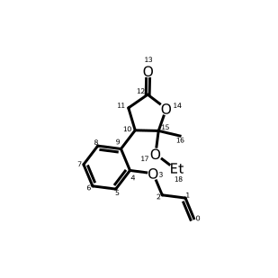 C=CCOc1ccccc1C1CC(=O)OC1(C)OCC